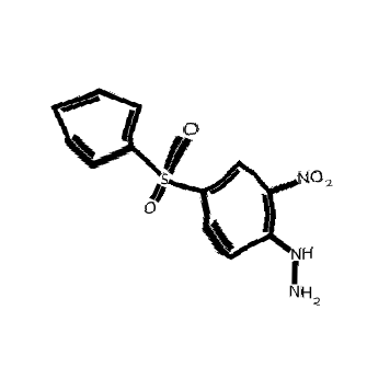 NNc1ccc(S(=O)(=O)c2ccccc2)cc1[N+](=O)[O-]